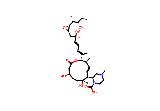 CC[C@H](O)[C@@H](C)[C@H]1O[C@@H]1C[C@@](C)(O)/C=C/C=C(\C)[C@H]1OC(=O)C[C@H](O)CC[C@@](C)(O)[C@H](C2CN(C)CCN2C(=O)O)/C=C/[C@@H]1C